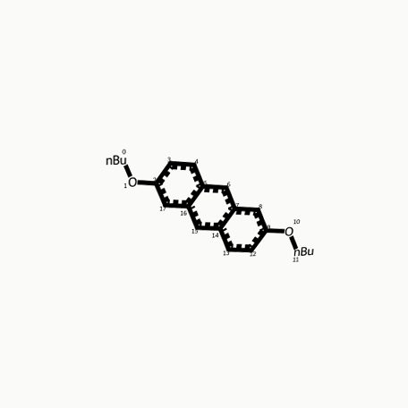 CCCCOc1ccc2cc3cc(OCCCC)ccc3cc2c1